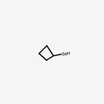 [SeH]C1CCC1